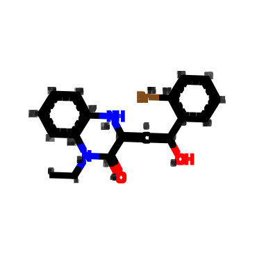 CCN1C(=O)C(=C=C(O)c2ccccc2Br)Nc2ccccc21